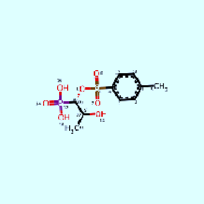 Cc1ccc(S(=O)(=O)O[C@H]([C@H](C)O)P(=O)(O)O)cc1